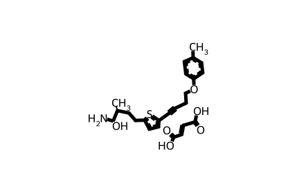 Cc1ccc(OCCC#Cc2ccc(CC[C@@H](C)C(N)O)s2)cc1.O=C(O)C=CC(=O)O